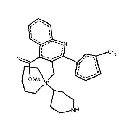 COC(=O)c1c(C[N+]2(C3CCNCC3)CCCCC2)c(-c2cccc(C(F)(F)F)c2)nc2ccccc12